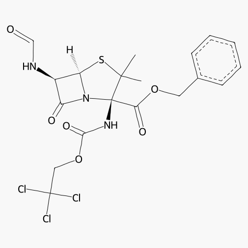 CC1(C)S[C@@H]2[C@H](NC=O)C(=O)N2[C@@]1(NC(=O)OCC(Cl)(Cl)Cl)C(=O)OCc1ccccc1